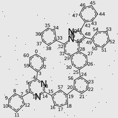 c1ccc(-c2cc(-c3ccccc3)nc(-c3cccc(-c4cccc(-c5ccc6c(c5)cc(-c5ccccc5)n5nc(-c7ccccc7)c(-c7ccccc7)c65)c4)c3)n2)cc1